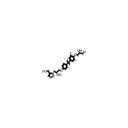 CC(C)(c1ccc(OC[C@H](O)Cn2nncc2CO)cc1)c1ccc(OC[C@H](O)CCl)c(I)c1